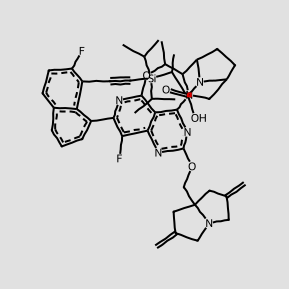 C=C1CN2CC(=C)CC2(COc2nc3c4c(nc(-c5cccc6ccc(F)c(C#C[Si](C(C)C)(C(C)C)C(C)C)c56)c(F)c4n2)OC(C)C2C4CCC(CN32)N4C(=O)O)C1